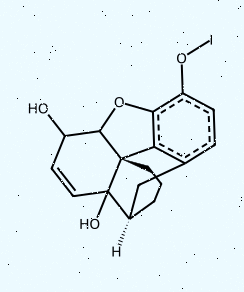 OC1C=CC2(O)[C@@H]3CCC[C@@]24c2c(ccc(OI)c2OC14)C3